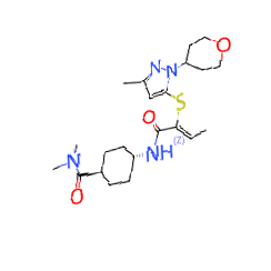 C/C=C(\Sc1cc(C)nn1C1CCOCC1)C(=O)N[C@H]1CC[C@H](C(=O)N(C)C)CC1